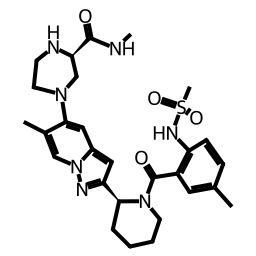 CNC(=O)[C@H]1CN(c2cc3cc([C@@H]4CCCCN4C(=O)c4cc(C)ccc4NS(C)(=O)=O)nn3cc2C)CCN1